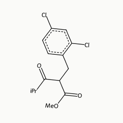 COC(=O)C(Cc1ccc(Cl)cc1Cl)C(=O)C(C)C